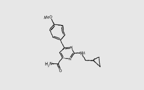 COc1ccc(-c2cc(C(N)=O)nc(NCC3CC3)n2)cc1